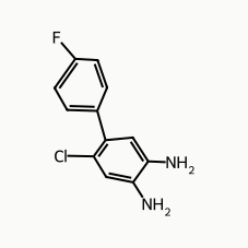 Nc1cc(Cl)c(-c2ccc(F)cc2)cc1N